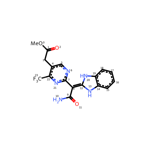 COC(=O)Cc1cnc(C(C(N)=O)=C2Nc3ccccc3N2)nc1C(F)(F)F